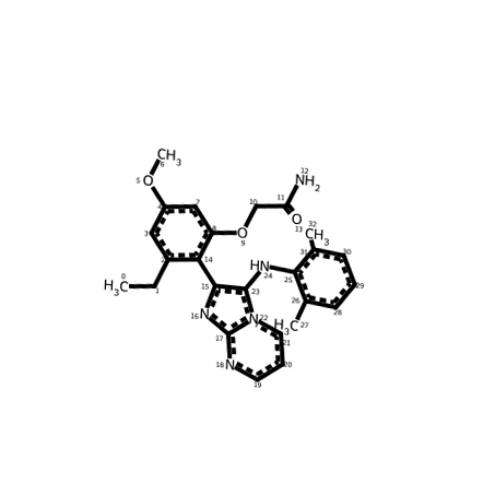 CCc1cc(OC)cc(OCC(N)=O)c1-c1nc2ncccn2c1Nc1c(C)cccc1C